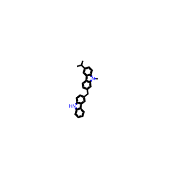 CC(C)c1ccc2c(c1)c1ccc(Cc3ccc4[nH]c5ccccc5c4c3)cc1n2C